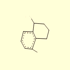 NC1CCCc2c(F)cccc21